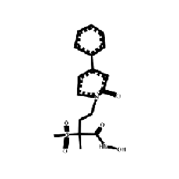 CC(CCn1ccc(-c2ccccc2)cc1=O)(C(=O)NO)S(C)(=O)=O